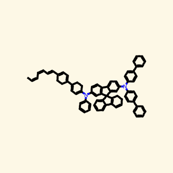 C\C=C/C=C\C=C\C1=CC=C(C2=CC=C(N(c3ccccc3)c3ccc4c(c3)C3(C5=C(C=CCC5)c5ccccc53)c3cc(N(c5ccc(-c6ccccc6)cc5)c5ccc(-c6ccccc6)cc5)ccc3-4)CC2)CC1